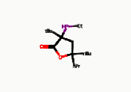 CCCCC1(CCC)CC(PCC)(C(C)(C)C)C(=O)O1